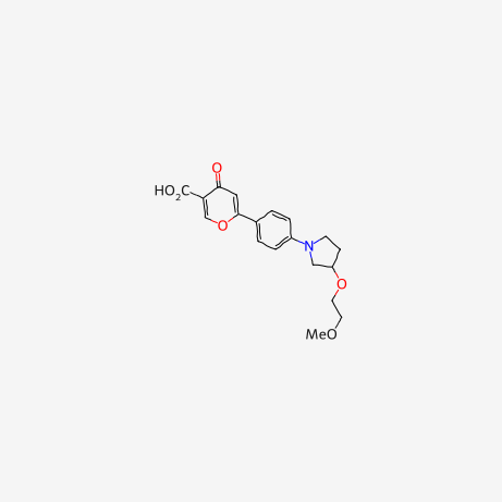 COCCOC1CCN(c2ccc(-c3cc(=O)c(C(=O)O)co3)cc2)C1